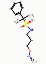 C=NOCCCNS(=O)(=O)C(C)(C)c1ccccc1